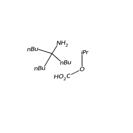 CC(C)OC(=O)O.CCCCC(N)(CCCC)CCCC